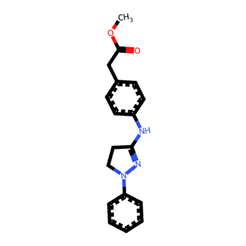 COC(=O)Cc1ccc(NC2=NN(c3ccccc3)CC2)cc1